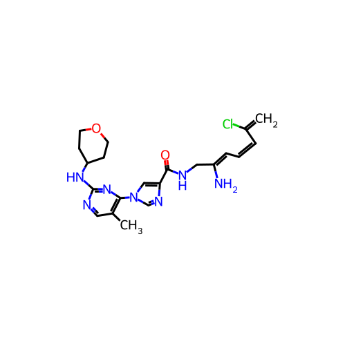 C=C(Cl)/C=C\C=C(/N)CNC(=O)c1cn(-c2nc(NC3CCOCC3)ncc2C)cn1